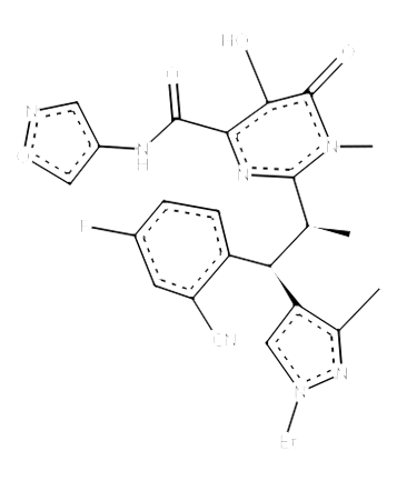 CCn1cc([C@@H](c2ccc(F)cc2C#N)[C@H](C)c2nc(C(=O)Nc3cnoc3)c(O)c(=O)n2C)c(C)n1